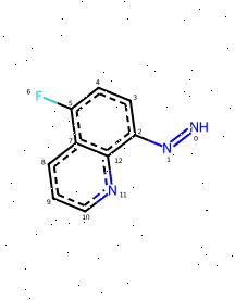 N=Nc1ccc(F)c2cccnc12